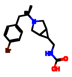 C[C@H](Cc1ccc(Br)cc1)N1CC2C(CNC(=O)O)C2C1